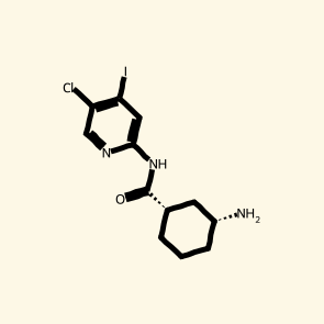 N[C@@H]1CCC[C@H](C(=O)Nc2cc(I)c(Cl)cn2)C1